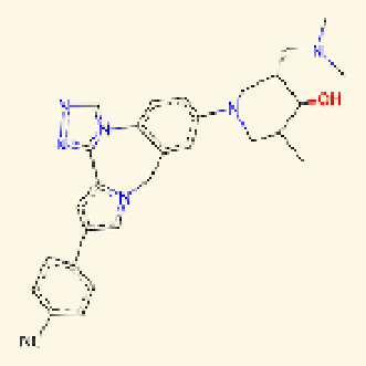 CC1CN(c2ccc3c(c2)Cn2cc(-c4ccc(C#N)cc4)cc2-c2nncn2-3)C[C@H](CN(C)C)[C@H]1O